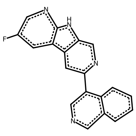 Fc1cnc2[nH]c3cnc(-c4cncc5ccccc45)cc3c2c1